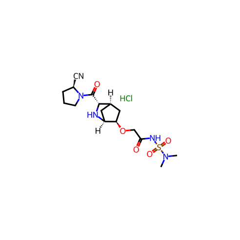 CN(C)S(=O)(=O)NC(=O)CO[C@@H]1C[C@H]2C[C@@H]1N[C@@H]2C(=O)N1CCC[C@H]1C#N.Cl